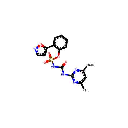 COc1cc(C)nc(NC(=O)NS(=O)(=O)Oc2ccccc2-c2ccno2)n1